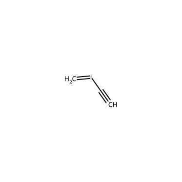 C#CI=C